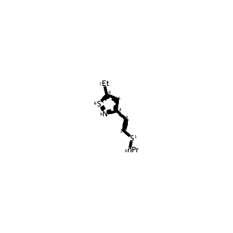 CCCSC=Cc1cc(CC)sn1